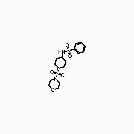 O=S(=O)(NC1CCN(S(=O)(=O)N2CCOCC2)CC1)c1ccccc1